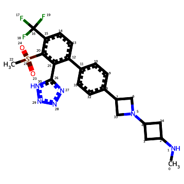 CNC1CC(N2CC(c3ccc(-c4ccc(C(F)(F)F)c(S(C)(=O)=O)c4-c4nnn[nH]4)cc3)C2)C1